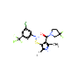 Cc1[nH]c(C)c(C(=O)N2CCC(F)(F)C2)c1SNc1cc(Cl)cc(C(F)(F)F)c1